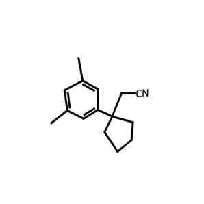 Cc1cc(C)cc(C2(CC#N)CCCC2)c1